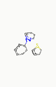 c1ccc(-n2cccc2)cc1.c1ccsc1